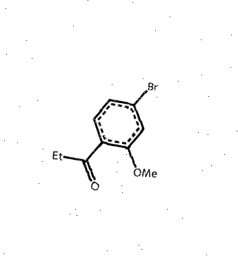 CCC(=O)c1ccc(Br)cc1OC